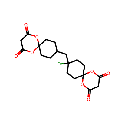 O=C1CC(=O)OC2(CCC(CC3(F)CCC4(CC3)OC(=O)CC(=O)O4)CC2)O1